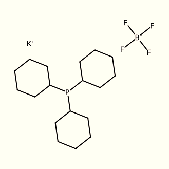 C1CCC(P(C2CCCCC2)C2CCCCC2)CC1.F[B-](F)(F)F.[K+]